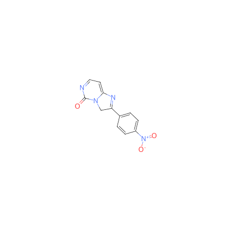 O=c1nccc2n1CC(c1ccc([N+](=O)[O-])cc1)=N2